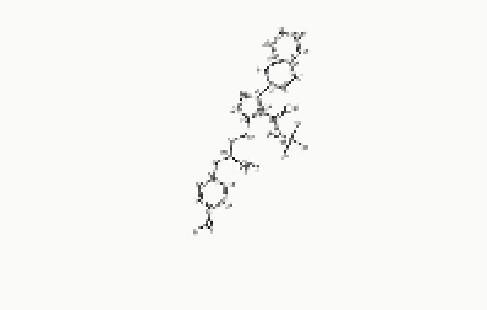 COc1ccc(C[C@H](N)CCc2ccc(-c3ccc4cnccc4c3)n2C(=O)OC(C)(C)C)cc1